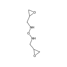 C(NONCC1CO1)C1CO1